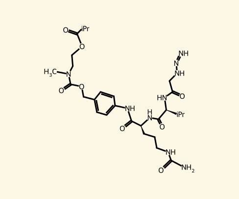 CC(C)C(=O)OCCN(C)C(=O)OCc1ccc(NC(=O)[C@H](CCCNC(N)=O)NC(=O)[C@@H](NC(=O)CNN=N)C(C)C)cc1